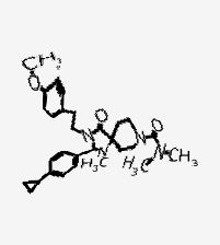 COc1ccc(CCN2C(=O)C3(CCN(C(=O)N(C)C)CC3)N(C)C2c2ccc(C3CC3)cc2)cc1